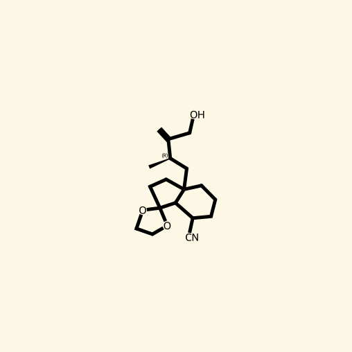 C=C(CO)[C@H](C)CC12CCCC(C#N)C1C1(CC2)OCCO1